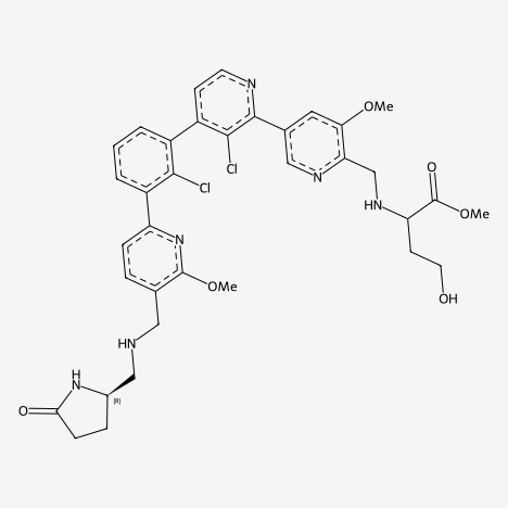 COC(=O)C(CCO)NCc1ncc(-c2nccc(-c3cccc(-c4ccc(CNC[C@H]5CCC(=O)N5)c(OC)n4)c3Cl)c2Cl)cc1OC